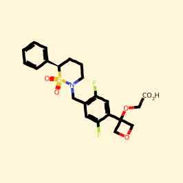 O=C(O)COC1(c2cc(F)c(CN3CCC[C@H](c4ccccc4)S3(=O)=O)cc2F)COC1